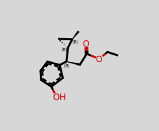 CCOC(=O)C[C@@H](c1cccc(O)c1)[C@@H]1C[C@H]1C